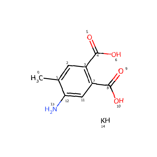 Cc1cc(C(=O)O)c(C(=O)O)cc1N.[KH]